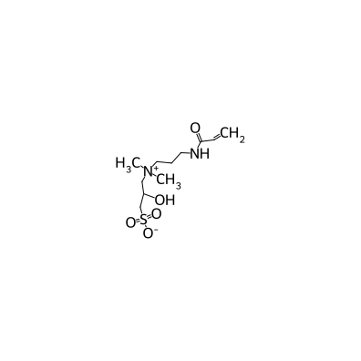 C=CC(=O)NCCC[N+](C)(C)CC(O)CS(=O)(=O)[O-]